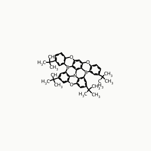 CC(C)(C)c1ccc2c(c1)B1c3cc(C(C)(C)C)cc4c3N3c5c(cc(C(C)(C)C)cc5B5c6cc(C(C)(C)C)ccc6Oc6cc(c1c3c65)O2)O4